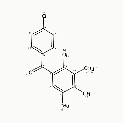 CC(C)(C)c1cc(C(=O)c2ccc(Cl)cc2)c(O)c(C(=O)O)c1O